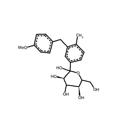 COc1ccc(Cc2cc(C3(O)OC(CO)[C@@H](O)C(O)[C@H]3O)ccc2C)cc1